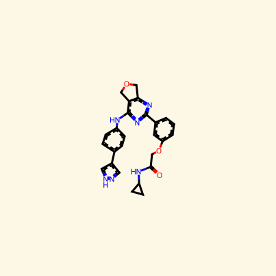 O=C(COc1cccc(-c2nc3c(c(Nc4ccc(-c5cn[nH]c5)cc4)n2)COC3)c1)NC1CC1